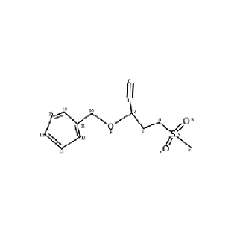 C#CC(CCS(C)(=O)=O)OCc1ccccc1